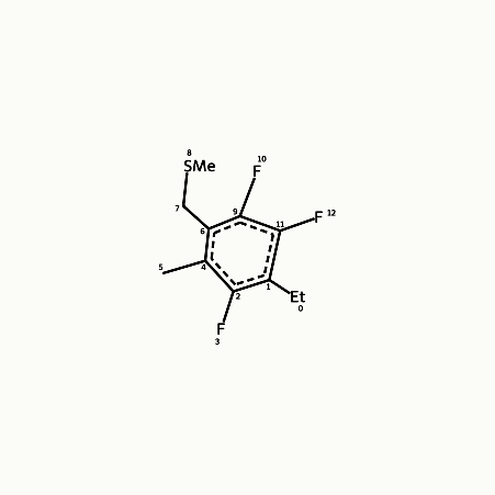 CCc1c(F)c(C)c(CSC)c(F)c1F